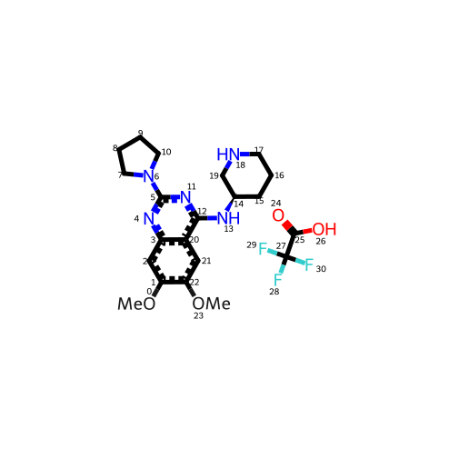 COc1cc2nc(N3CCCC3)nc(N[C@@H]3CCCNC3)c2cc1OC.O=C(O)C(F)(F)F